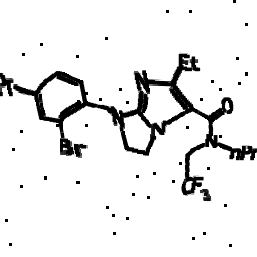 CCCN(CC(F)(F)F)C(=O)c1c(CC)nc2n1CCN2c1ccc(C(C)C)cc1Br